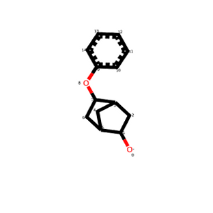 [O]C1CC2CC1CC2Oc1c[c]ccc1